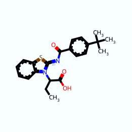 CCC(C(=O)O)n1/c(=N/C(=O)c2ccc(C(C)(C)C)cc2)sc2ccccc21